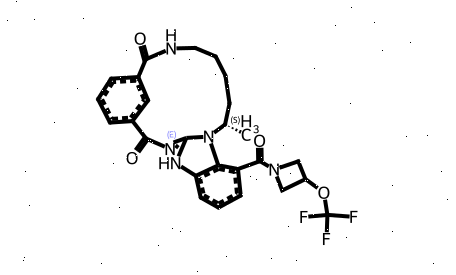 C[C@H]1CCCCNC(=O)c2cccc(c2)C(=O)/N=C2\Nc3cccc(C(=O)N4CC(OC(F)(F)F)C4)c3N21